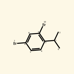 C[C](C)c1ccc(Br)cc1Br